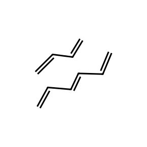 C=CC=C.C=CC=CC=C